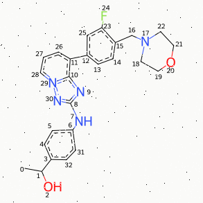 CC(O)c1ccc(Nc2nc3c(-c4ccc(CN5CCOCC5)c(F)c4)cccn3n2)cc1